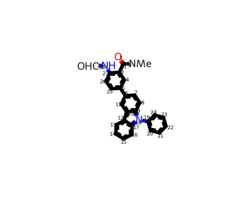 CNC(=O)c1cc(-c2ccc3c(c2)c2ccccc2n3-c2ccccc2)ccc1NC=O